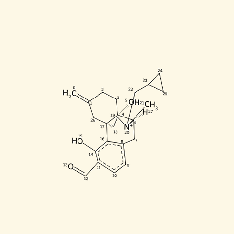 C=C1CC[C@@]2(O)[C@H]3Cc4ccc(C=O)c(O)c4[C@@]2(CC[N+]3(C)CC2CC2)C1